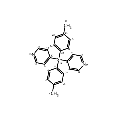 Cc1ccc([Si](c2ccncc2)(c2ccncc2)c2ccc(C)cc2)cc1